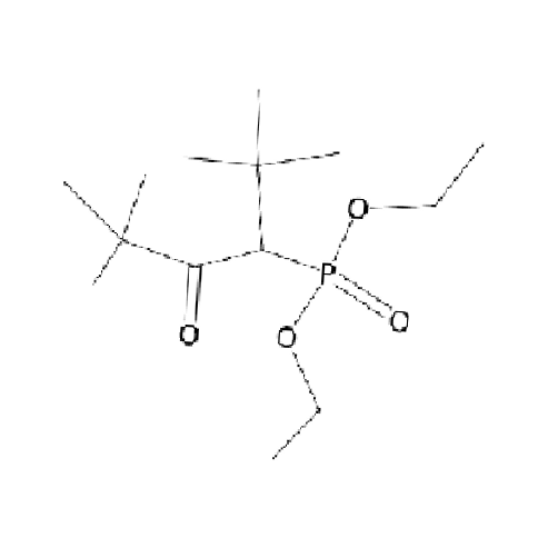 CCOP(=O)(OCC)C(C(=O)C(C)(C)C)C(C)(C)C